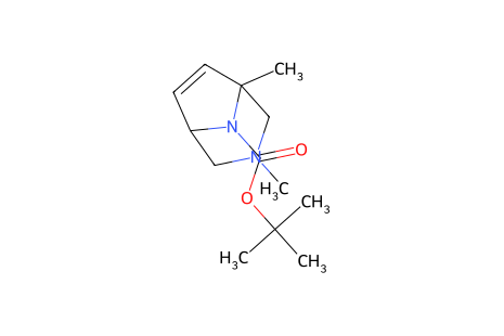 CN1CC2C=CC(C)(C1)N2C(=O)OC(C)(C)C